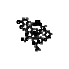 COC1CN(c2ccnc(OC3CC(c4cc5c(C)nc6c(F)c(-c7cccc(Cl)c7Cl)c(CCC#N)cc6c5n4C4C5CNC4C5)N(C(=O)C4CC4)C3)c2)C1